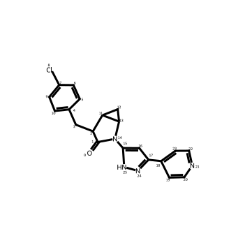 O=C1C(Cc2ccc(Cl)cc2)C2CC2N1c1cc(-c2ccncc2)n[nH]1